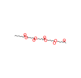 CCCCCCCC(=O)OCCCCCC(=O)OCCCCCC(=O)OCCCCCC(=O)OCCCCCC(C)=O